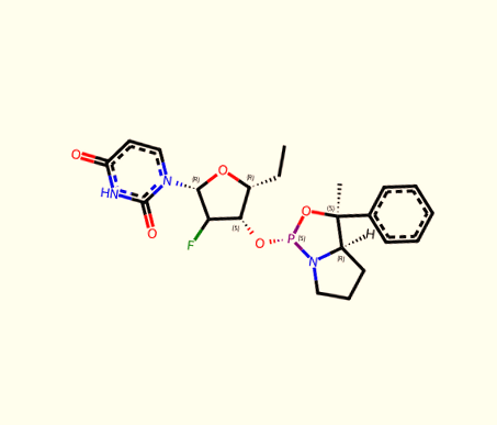 CC[C@H]1O[C@@H](n2ccc(=O)[nH]c2=O)C(F)[C@H]1O[P@]1O[C@@](C)(c2ccccc2)[C@H]2CCCN21